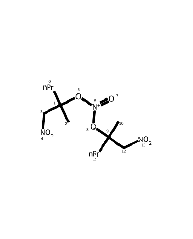 CCCC(C)(C[N+](=O)[O-])O[N+](=O)OC(C)(CCC)C[N+](=O)[O-]